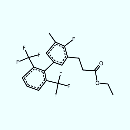 CCOC(=O)CCc1cc(-c2c(C(F)(F)F)cccc2C(F)(F)F)cc(C)c1F